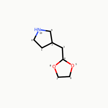 C1C[C](CC2OCCO2)CN1